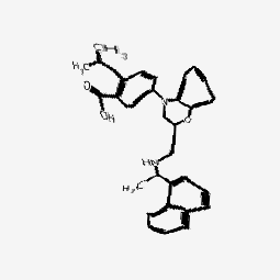 CC(C)c1ccc(N2CC(CN[C@H](C)c3cccc4ccccc34)Oc3ccccc32)cc1C(=O)O